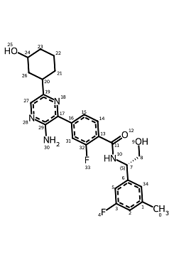 Cc1cc(F)cc([C@@H](CO)NC(=O)c2ccc(-c3nc(C4CCCC(O)C4)cnc3N)cc2F)c1